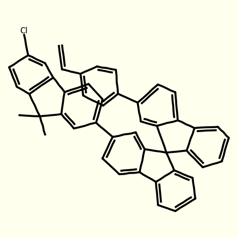 C=Cc1ccc(-c2ccc3c(c2)C2(c4ccccc4-3)c3ccccc3-c3ccc(-c4ccc5c(c4)C(C)(C)c4ccc(Cl)cc4-5)cc32)cc1